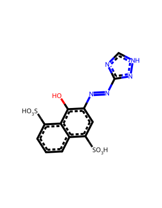 O=S(=O)(O)c1cc(/N=N/c2nc[nH]n2)c(O)c2c(S(=O)(=O)O)cccc12